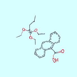 CCC[Si](OCC)(OCC)OCC.O=C(O)c1c2ccccc2cc2ccccc12